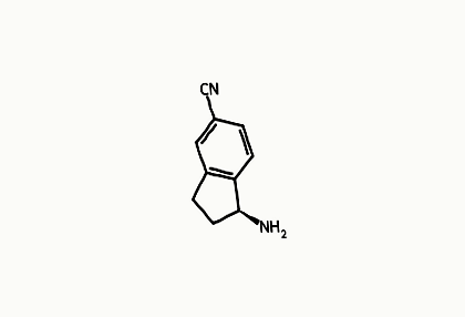 N#Cc1ccc2c(c1)CC[C@@H]2N